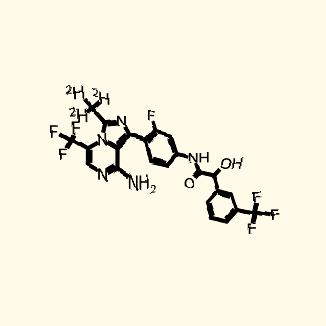 [2H]C([2H])([2H])c1nc(-c2ccc(NC(=O)C(O)c3cccc(C(F)(F)F)c3)cc2F)c2c(N)ncc(C(F)(F)F)n12